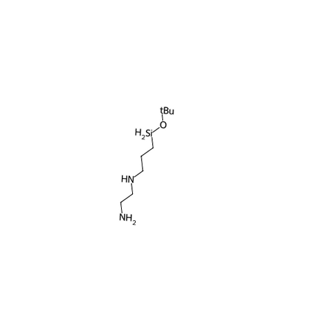 CC(C)(C)O[SiH2]CCCNCCN